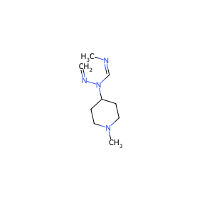 C=NN(/C=N\C)C1CCN(C)CC1